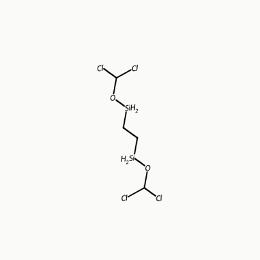 ClC(Cl)O[SiH2]CC[SiH2]OC(Cl)Cl